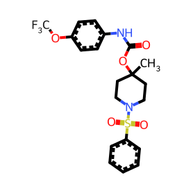 CC1(OC(=O)Nc2ccc(OC(F)(F)F)cc2)CCN(S(=O)(=O)c2ccccc2)CC1